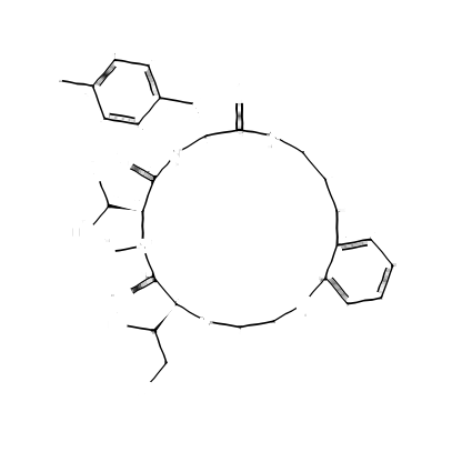 CCC(C)[C@@H]1NCCOc2ccccc2CCCNC(=O)[C@@H](Cc2ccc(Cl)cc2)NC(=O)[C@H](C(C)O)N(C)C1=O